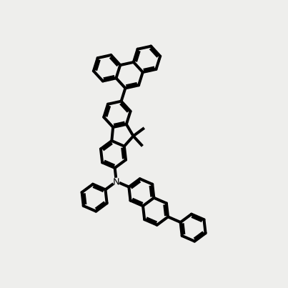 CC1(C)c2cc(-c3cc4ccccc4c4ccccc34)ccc2-c2ccc(N(c3ccccc3)c3ccc4cc(-c5ccccc5)ccc4c3)cc21